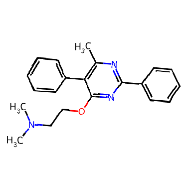 Cc1nc(-c2ccccc2)nc(OCCN(C)C)c1-c1ccccc1